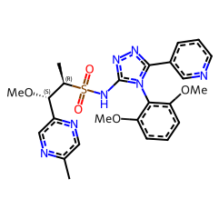 COc1cccc(OC)c1-n1c(NS(=O)(=O)[C@H](C)[C@@H](OC)c2cnc(C)cn2)nnc1-c1cccnc1